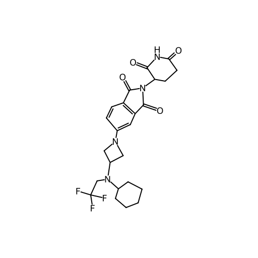 O=C1CCC(N2C(=O)c3ccc(N4CC(N(CC(F)(F)F)C5CCCCC5)C4)cc3C2=O)C(=O)N1